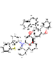 c1ccc(-c2ccccc2N(c2ccc3c(c2)oc2c(-c4cccc5ccccc45)c4c(cc23)oc2ccccc24)c2cccc3c2sc2ccccc23)cc1